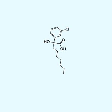 CCCCCCCC(O)(C(=O)O)c1cccc(Cl)c1